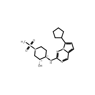 CS(=O)(=O)N1CC[C@@H](Nc2ncc3ccc(C4CCCC4)n3n2)[C@H](O)C1